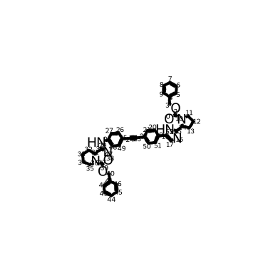 O=C(OCc1ccccc1)N1CCCC1c1ncc(-c2ccc(C#Cc3ccc4[nH]c(C5CCCCN5C(=O)OCc5ccccc5)nc4c3)cc2)[nH]1